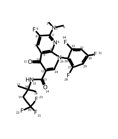 CN(C)c1nc2c(cc1F)c(=O)c(C(=O)NC(C)(C)CC(F)(F)F)cn2-c1c(F)cc(F)cc1F